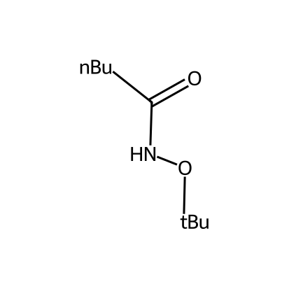 [CH2]CCCC(=O)NOC(C)(C)C